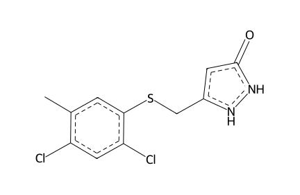 Cc1cc(SCc2cc(=O)[nH][nH]2)c(Cl)cc1Cl